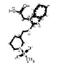 CS(=O)(=O)N1CCCC(CSc2nc3ccccc3n2CC(=O)O)C1